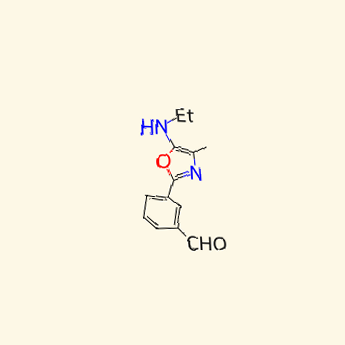 CCNc1oc(-c2cccc(C=O)c2)nc1C